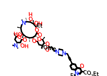 CCOC(=O)c1cn(CC)c2ccc(C#CCN3CCN(CCC(=O)O[C@H]4[C@H](C)OC(O[C@H]5[C@H](C)[C@@H](OC6O[C@H](C)C[C@H](N(C)C)[C@@H]6O)[C@](C)(O)C[C@@H](C)CN(C)[C@H](C)[C@@H](O)[C@](C)(O)[C@@H](CC)OC(=O)[C@@H]5C)C[C@]4(C)OC)CC3)cc2c1=O